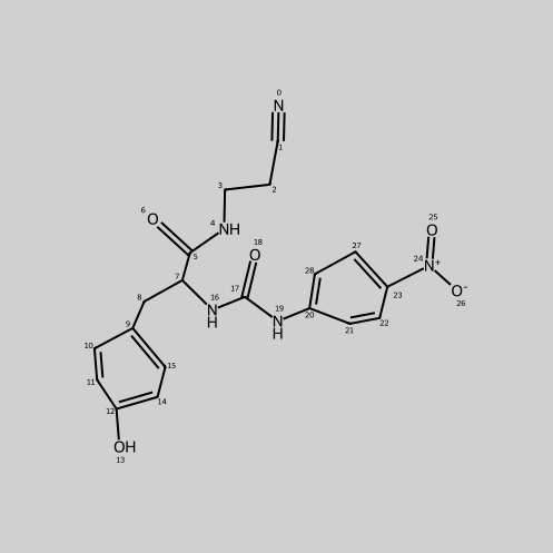 N#CCCNC(=O)C(Cc1ccc(O)cc1)NC(=O)Nc1ccc([N+](=O)[O-])cc1